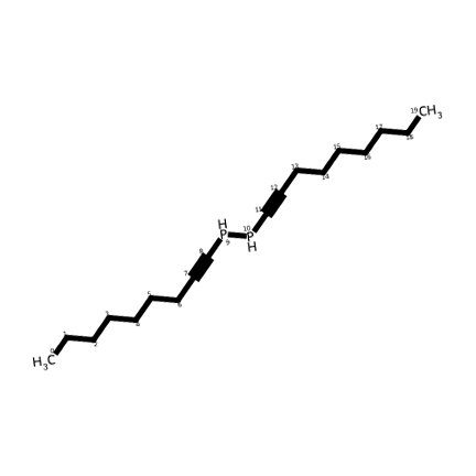 CCCCCCCC#CPPC#CCCCCCCC